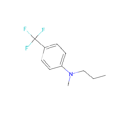 CCCN(C)c1ccc(C(F)(F)F)cc1